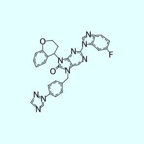 O=c1n(Cc2ccc(-n3cncn3)cc2)c2cnc(-n3cnc4ccc(F)cc43)nc2n1C1CCOc2ccccc21